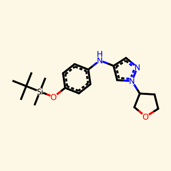 CC(C)(C)[Si](C)(C)Oc1ccc(Nc2cnn(C3CCOC3)c2)cc1